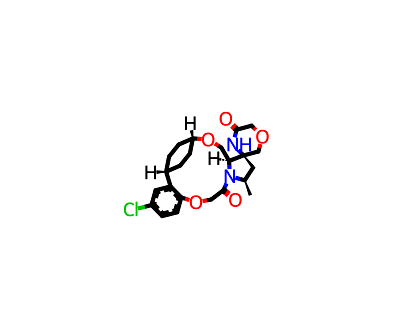 C[C@@H]1C[C@@]2(COCC(=O)N2)[C@@H]2CO[C@H]3CC[C@H](CC3)c3cc(Cl)ccc3OCC(=O)N12